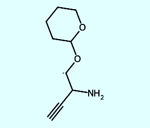 C#CC(N)[CH]OC1CCCCO1